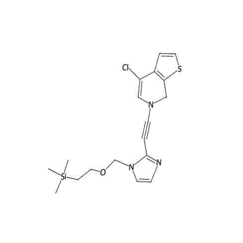 C[Si](C)(C)CCOCn1ccnc1C#CN1C=C(Cl)c2ccsc2C1